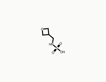 O=S(=O)(O)NCC1COC1